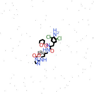 CC(C)(C)OC(=O)N1CCN=C1NCCCCNC(=O)C(Cc1cc(Cl)c(N)c(Cl)c1)=NOC1CCCCO1